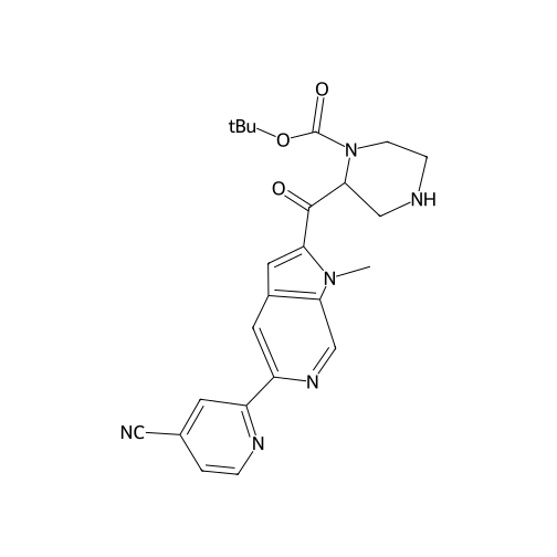 Cn1c(C(=O)C2CNCCN2C(=O)OC(C)(C)C)cc2cc(-c3cc(C#N)ccn3)ncc21